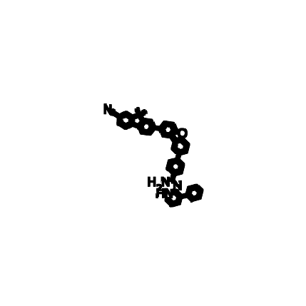 CC1(C)c2cc(C#N)ccc2-c2ccc(-c3ccc4oc5ccc(-c6ccc([C@@H](N)/N=c7\[nH]cccc7-c7ccccc7)cc6)cc5c4c3)cc21